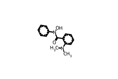 CN(C)c1ccccc1C(=O)N(O)c1ccccc1